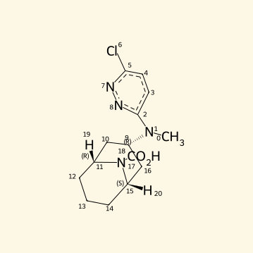 CN(c1ccc(Cl)nn1)[C@H]1C[C@H]2CCC[C@@H](C1)N2C(=O)O